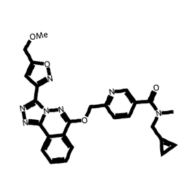 COCc1cc(-c2nnc3c4ccccc4c(OCc4ccc(C(=O)N(C)CC5=CC5)cn4)nn23)no1